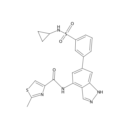 Cc1nc(C(=O)Nc2cc(-c3cccc(S(=O)(=O)NC4CC4)c3)cc3[nH]ncc23)cs1